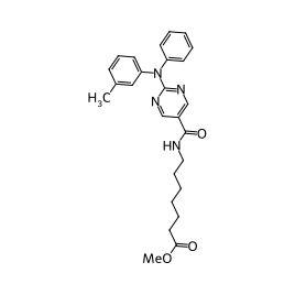 COC(=O)CCCCCCNC(=O)c1cnc(N(c2ccccc2)c2cccc(C)c2)nc1